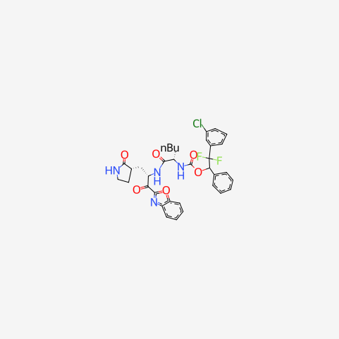 CCCC[C@H](NC(=O)OC(c1ccccc1)C(F)(F)c1cccc(Cl)c1)C(=O)N[C@@H](C[C@@H]1CCNC1=O)C(=O)c1nc2ccccc2o1